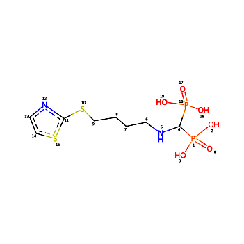 O=P(O)(O)C(NCCCCSc1nccs1)P(=O)(O)O